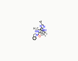 C=C(N[C@@H](C(=O)N1CCc2ccccc21)C(C)(C)C)c1c[nH]c2ncc(C3CC3)nc12